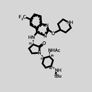 CC(=O)N[C@@H]1C[C@H](NC(C)(C)C)CC[C@@H]1N1CC[C@H](Nc2nc(OC3CCNCC3)nc3ccc(C(F)(F)F)cc23)C1=O